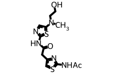 CC(=O)Nc1nc(CC(=O)Nc2ncc(N(C)CCO)s2)cs1